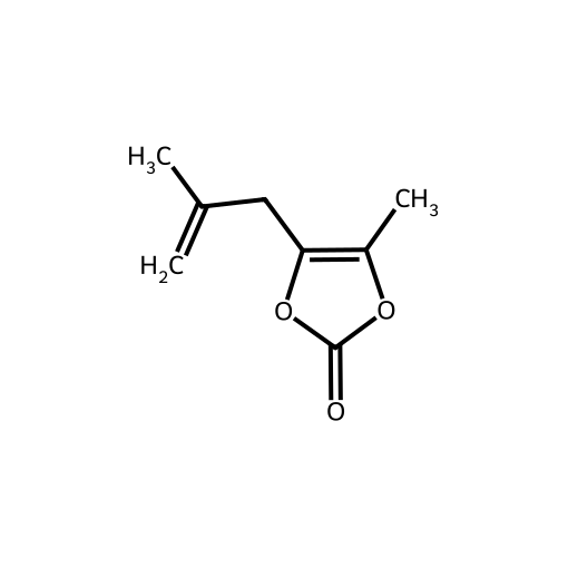 C=C(C)Cc1oc(=O)oc1C